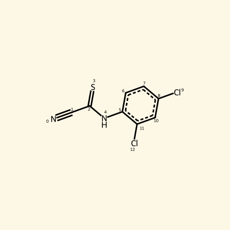 N#CC(=S)Nc1ccc(Cl)cc1Cl